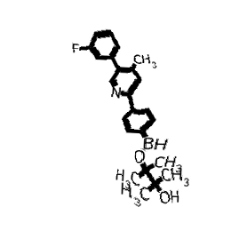 Cc1cc(-c2ccc(BOC(C)(C)C(C)(C)O)cc2)ncc1-c1cccc(F)c1